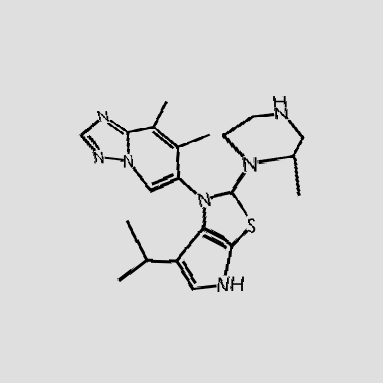 Cc1c(N2c3c(C(C)C)c[nH]c3SC2N2CCNCC2C)cn2ncnc2c1C